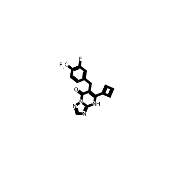 O=c1c(Cc2ccc(C(F)(F)F)c(F)c2)c(C2=CC=C2)[nH]c2ncnn12